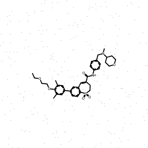 CCOCCOc1c(C)cc(-c2ccc3c(c2)C=C(C(=O)Nc2ccc(CN(C)C4CCOCC4)cc2)CCS3(=O)=O)cc1C